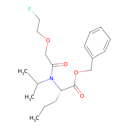 CCC[C@@H](C(=O)OCc1ccccc1)N(C(=O)COCCF)C(C)C